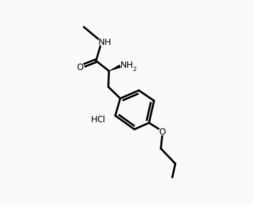 CCCOc1ccc(C[C@H](N)C(=O)NC)cc1.Cl